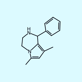 Cc1cc(C)n2c1C(c1ccccc1)NCC2